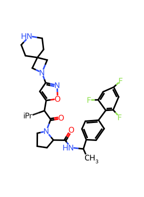 CC(NC(=O)C1CCCN1C(=O)C(c1cc(N2CC3(CCNCC3)C2)no1)C(C)C)c1ccc(-c2c(F)cc(F)cc2F)cc1